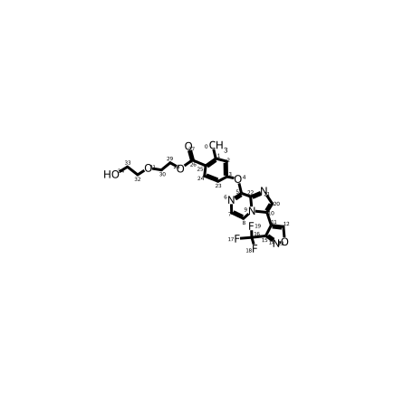 Cc1cc(Oc2nccn3c(-c4conc4C(F)(F)F)cnc23)ccc1C(=O)OCCOCCO